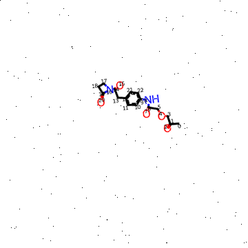 CC(=O)COCC(=O)Nc1ccc(CC(=O)N2CCC2=O)cc1